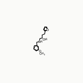 COc1cccc(CNC[C@H](O)[CH]Cc2ccco2)c1